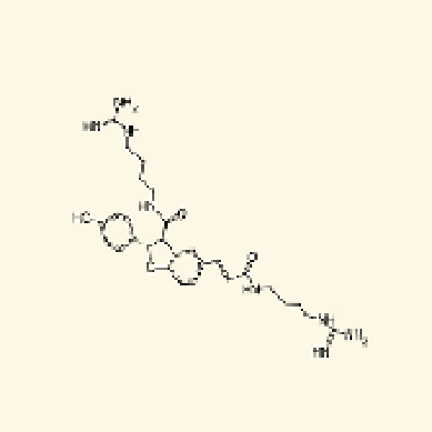 N=C(N)NCCCCNC(=O)/C=C/c1ccc2c(c1)[C@H](C(=O)NCCCCNC(=N)N)[C@@H](c1ccc(O)cc1)O2